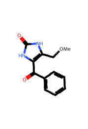 COCc1[nH]c(=O)[nH]c1C(=O)c1ccccc1